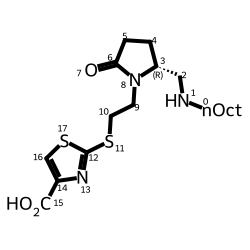 CCCCCCCCNC[C@H]1CCC(=O)N1CCSc1nc(C(=O)O)cs1